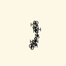 COC(=O)N[C@H](C(=O)N1CCC[C@H]1c1nc2cc(-c3csc(-c4ccc5[nH]c([C@@H]6CCCN6C(=O)[C@@H](NC(=O)OC)C(C)C)nc5c4)n3)ccc2[nH]1)C(C)C